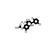 CC1(C)CC(c2cc(Cl)ccc2F)Nc2cc(Cl)c(OC(=O)O)cc21